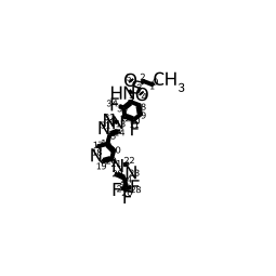 CCCS(=O)(=O)Nc1ccc(F)c(-n2cc(-c3cncc(-n4cnc(C(F)(F)F)c4)c3)nn2)c1F